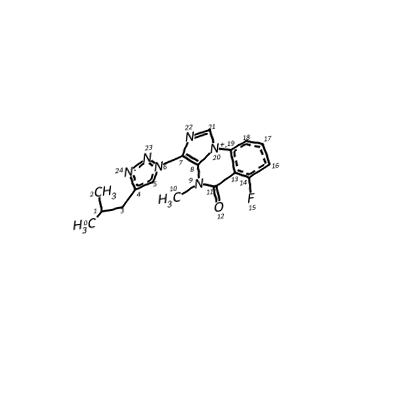 CC(C)Cc1cn(C2=C3N(C)C(=O)c4c(F)cccc4[N+]3C=N2)nn1